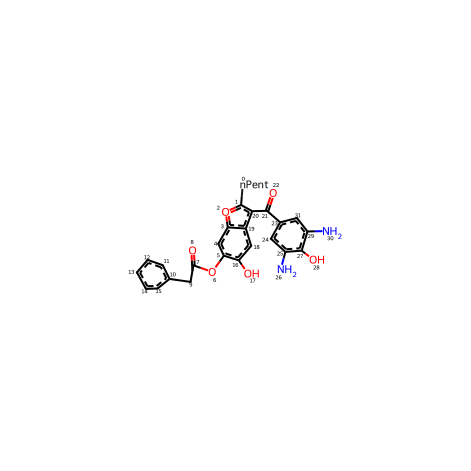 CCCCCc1oc2cc(OC(=O)Cc3ccccc3)c(O)cc2c1C(=O)c1cc(N)c(O)c(N)c1